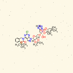 CCOP(=O)(OCC)[C@](CO)(Cc1nnnn1COCC[Si](C)(C)C)OCC1O[C@@H](n2ncc3c(N(Cc4ccccc4Cl)C(=O)OC(C)(C)C)nc(Cl)nc32)[C@@H]2OC(C)(C)O[C@H]12